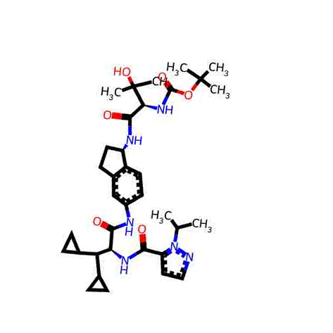 CC(C)n1nccc1C(=O)N[C@H](C(=O)Nc1ccc2c(c1)CC[C@H]2NC(=O)[C@H](NC(=O)OC(C)(C)C)C(C)(C)O)C(C1CC1)C1CC1